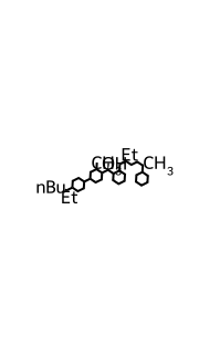 CCCCC(CC)C1CCC(C2CCC([C@@H](O)C3CCCCC3CC(CC)CCC(C)C3CCCCC3)C(C)C2)CC1